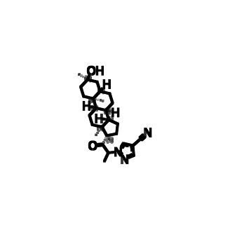 CC(C(=O)[C@H]1CC[C@H]2[C@@H]3CC[C@H]4C[C@](C)(O)CC[C@]4(C)[C@H]3CC[C@]12C)n1cc(C#N)cn1